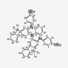 CC(C)(C)c1ccc(N2c3cc4c(cc3B3c5cc6c(cc5N(c5ccc(C(C)(C)C)cc5)c5cccc2c53)C(C)(C)c2ccccc2-6)-c2ccccc2C4(C)C)cc1